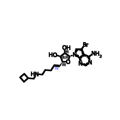 Nc1ncnc2c1c(Br)cn2[C@@H]1O[C@H](/C=C/CCCNCC2CCC2)[C@@H](O)[C@H]1O